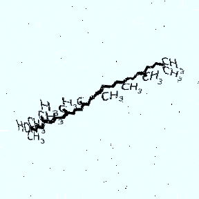 CC(C)=CCC/C(C)=C/CC/C(C)=C/CC/C(C)=C/C=C/C=C(C)/C=C/C=C(\C)CC/C=C(\C)CCCC(C)(C)O